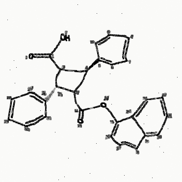 O=C(O)C1[C@@H](c2ccccc2)C(C(=O)Oc2cccc3ccccc23)[C@@H]1c1ccccc1